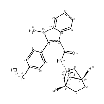 Cc1ccc(-c2c(C(=O)N[C@H]3C[C@H]4CC[C@@H](C3)N4C)c3ccccc3n2C)cc1.Cl